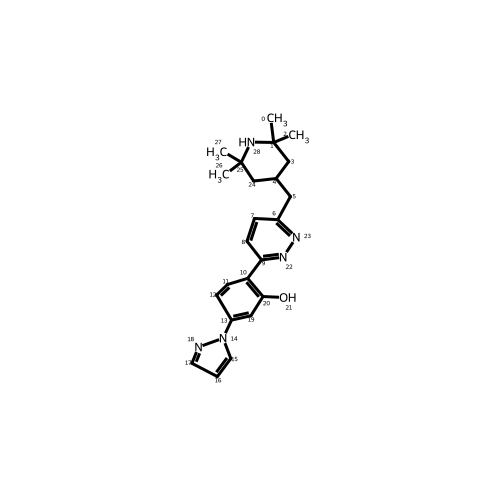 CC1(C)CC(Cc2ccc(-c3ccc(-n4cccn4)cc3O)nn2)CC(C)(C)N1